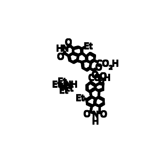 CCNCC.CCNCC.CCc1cc2c3c(ccc4c5ccc(C(=O)OC(=O)c6ccc7c8ccc9c%10c(cc(CC)c(c%11ccc(C(=O)O)c6c7%11)c%108)C(=O)NC9=O)c6c(C(=O)O)ccc(c1c34)c65)C(=O)NC2=O